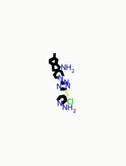 Cc1ccc2c(c1)[C@H](N)C1(CCN(c3ncc(Sc4ccnc(N)c4Cl)nn3)CC1)C2